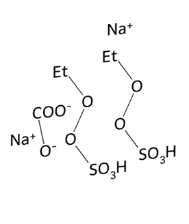 CCOOS(=O)(=O)O.CCOOS(=O)(=O)O.O=C([O-])[O-].[Na+].[Na+]